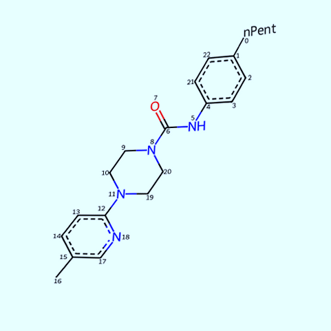 CCCCCc1ccc(NC(=O)N2CCN(c3ccc(C)cn3)CC2)cc1